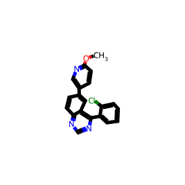 COc1ccc(-c2ccc3ncnc(-c4ccccc4Cl)c3c2)cn1